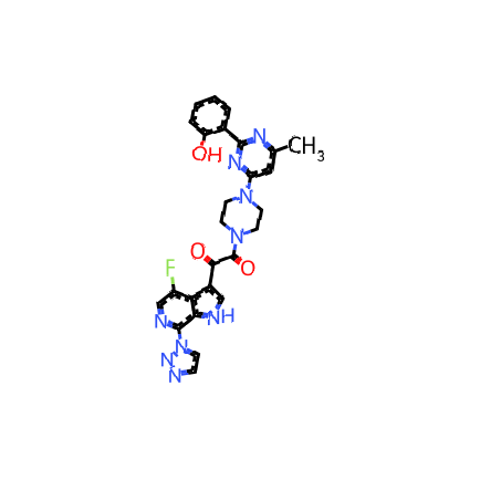 Cc1cc(N2CCN(C(=O)C(=O)c3c[nH]c4c(-n5ccnn5)ncc(F)c34)CC2)nc(-c2ccccc2O)n1